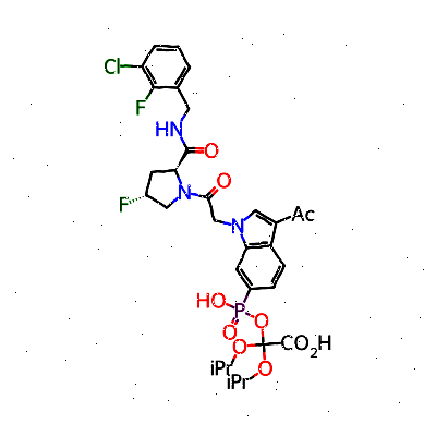 CC(=O)c1cn(CC(=O)N2C[C@H](F)C[C@H]2C(=O)NCc2cccc(Cl)c2F)c2cc(P(=O)(O)OC(OC(C)C)(OC(C)C)C(=O)O)ccc12